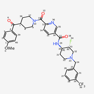 COc1ccc(C(=O)C2CCN(C(=O)c3ccc(C(=O)N[C@@H]4CCN(Cc5cccc(C(F)(F)F)c5)C[C@H]4F)cn3)CC2)cc1